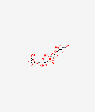 COC1C(OCC(O)C(O)C(O)COP(=O)(O)OC2C(CO)OC(OCC(O)C(O)C(O)CO)C2OC)OC(CO)C1O